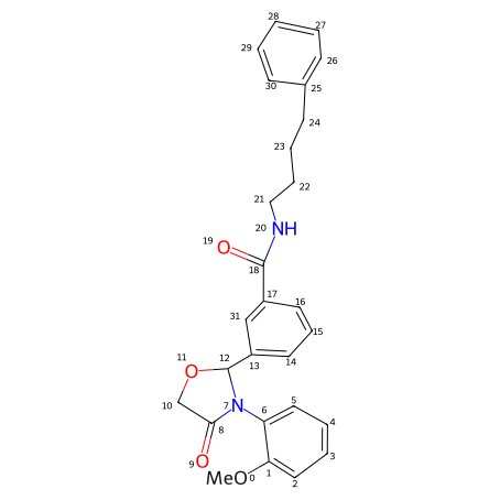 COc1ccccc1N1C(=O)COC1c1cccc(C(=O)NCCCCc2ccccc2)c1